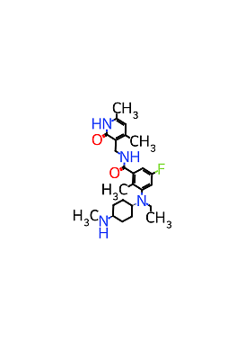 CCN(c1cc(F)cc(C(=O)NCc2c(C)cc(C)[nH]c2=O)c1C)[C@H]1CC[C@H](NC)CC1